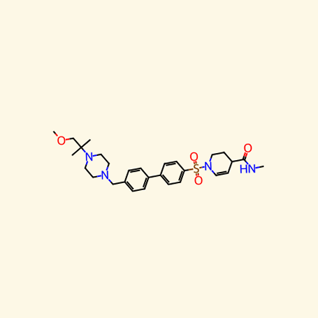 CNC(=O)C1C=CN(S(=O)(=O)c2ccc(-c3ccc(CN4CCN(C(C)(C)COC)CC4)cc3)cc2)CC1